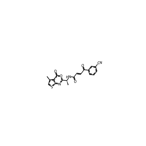 Cc1csc2nc([C@H](C)NC(=O)C=CC(=O)c3cccc(C#N)c3)oc(=O)c12